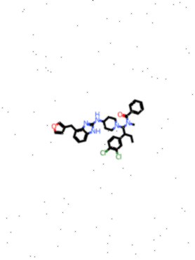 CCC(c1ccc(Cl)c(Cl)c1)C(N1CCC(Nc2nc3c(Cc4ccoc4)cccc3[nH]2)CC1)N(C)C(=O)c1ccccc1